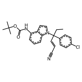 CCC(C=CC#N)(c1ccc(Cl)cc1)n1ccc2c(NC(=O)OC(C)(C)C)cccc21